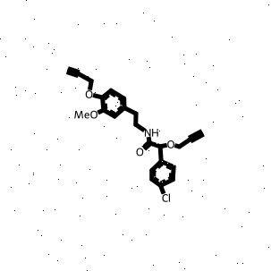 C#CCOc1ccc(CCNC(=O)C(OCC#C)c2ccc(Cl)cc2)cc1OC